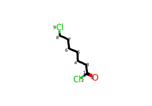 O=C(Cl)CCCCCCCl